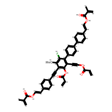 C=CC(=O)OC#Cc1c(OC(=O)C=C)c(C#Cc2ccc(/C=C/OC(=O)C(=C)C)cc2)c(OC)c(F)c1-c1ccc(-c2ccc(/C=C/OC(=O)C(=C)C)cc2)cc1